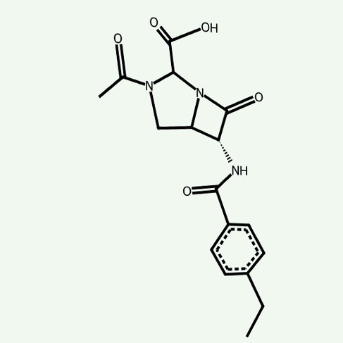 CCc1ccc(C(=O)N[C@H]2C(=O)N3C2CN(C(C)=O)C3C(=O)O)cc1